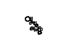 O=C(NCC1CCN(C(=O)Nc2ccccc2Cl)C1)N[C]1CCCCCCC1.[CH2].[CH2]